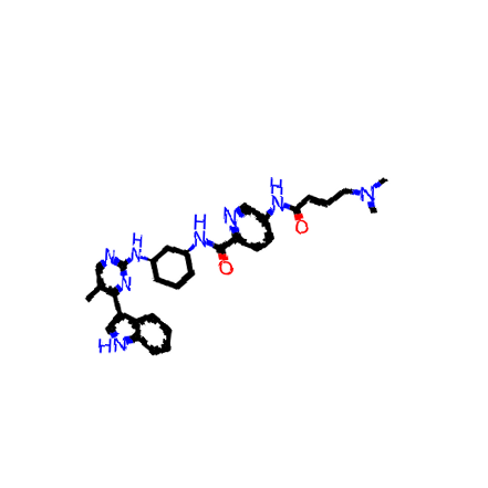 Cc1cnc(N[C@@H]2CCC[C@H](NC(=O)c3ccc(NC(=O)/C=C/CN(C)C)cn3)C2)nc1-c1c[nH]c2ccccc12